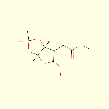 COC(=O)CC1C(OC)O[C@@H]2OC(C)(C)O[C@H]12